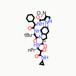 CCC[C@H](NC(=O)[C@@H]1CC2CCCCC2N1C(=O)[C@@H](NC(=O)[C@@H](NC(=O)c1[nH]ncc1[N+](=O)[O-])C1CCCCC1)C(C)(C)C)C(=O)C(=O)NC1CC1